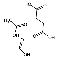 CC(=O)O.O=C(O)CCC(=O)O.O=CO